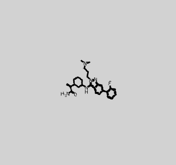 C=C(C(N)=O)C1CCCC(Nc2c3ccc(-c4ccccc4F)cc3nn2CCCN(C)C)C1